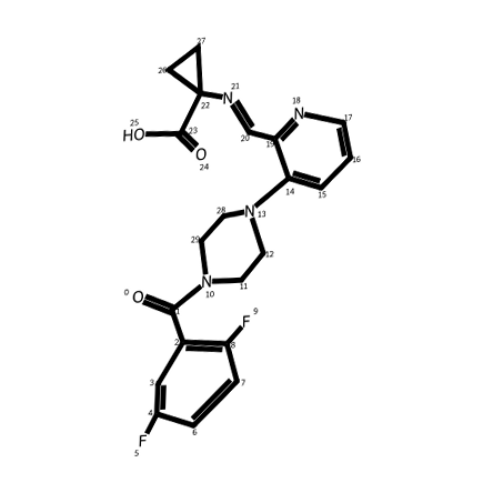 O=C(c1cc(F)ccc1F)N1CCN(c2cccnc2C=NC2(C(=O)O)CC2)CC1